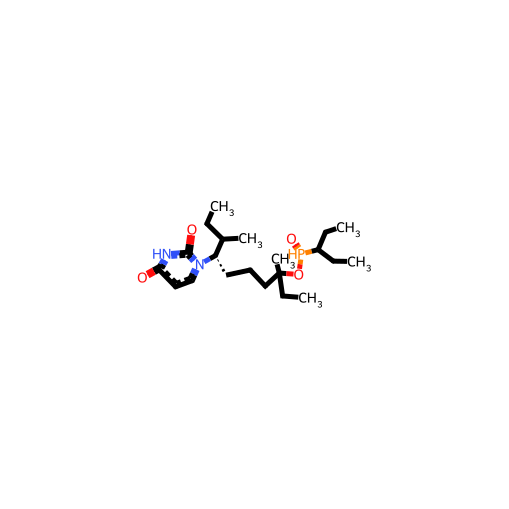 CCC(C)[C@H](CCCC(C)(CC)O[PH](=O)C(CC)CC)n1ccc(=O)[nH]c1=O